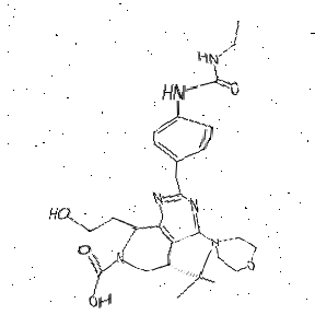 CCNC(=O)Nc1ccc(-c2nc3c(c(N4CCOCC4)n2)[C@H](C(C)(C)C)CN(C(=O)O)C3CCO)cc1